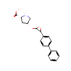 O=C(O)[C@@H]1C[C@H](OC2OC2c2ccc(-c3ccccc3)cc2)CN1